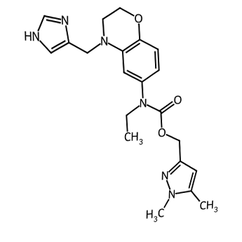 CCN(C(=O)OCc1cc(C)n(C)n1)c1ccc2c(c1)N(Cc1c[nH]cn1)CCO2